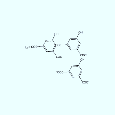 O=C([O-])c1cc(O)cc(C(=O)[O-])c1.O=C([O-])c1cc(O)cc(C(=O)[O-])c1.O=C([O-])c1cc(O)cc(C(=O)[O-])c1.[La+3].[La+3]